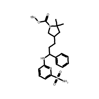 CC(C)(C)OC(=O)N1CC(CCC(Nc2cccc(S(N)(=O)=O)n2)c2ccccc2)CC1(C)C